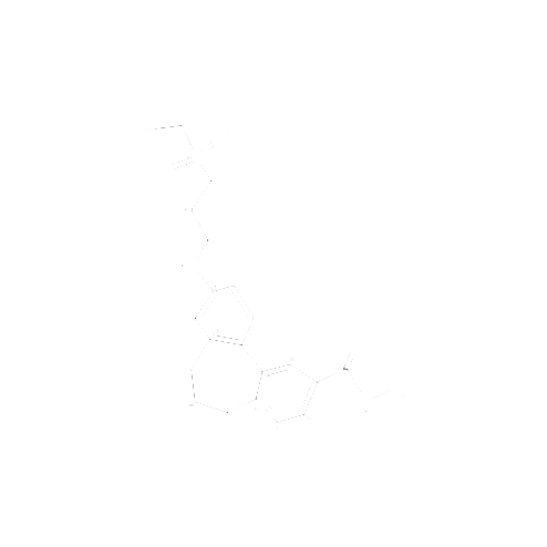 CCS(=O)(=O)CCCOc1ccc2c(c1)CCCc1ccc(C(=O)OC)cc1-2